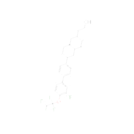 CCCC1CCC2CC(c3ccc(-c4ccc(OC(F)(F)C(F)F)c(F)c4)cc3)CCC2C1